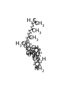 CC(C)=CCC/C(C)=C/CC/C(C)=C/CCC1(C)CCc2c(cc(C)c(OC(=O)C(CC(=O)O)[n+]3c(/C=C/c4ccc(N)cc4)ccc4ccccc43)c2C)O1